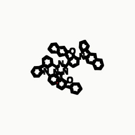 c1ccc(-n2c3ccccc3c3cccc(-c4nc(-c5cccc6c5oc5ccccc56)nc(-c5ccc(-n6c7ccccc7c7cc8ccccc8cc76)c6oc7cc8ccccc8cc7c56)n4)c32)cc1